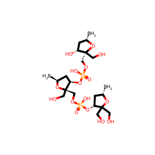 B[C@H]1C[C@@H](OP(=O)(O)OC[C@@]2(CO)O[C@@H](B)C[C@H]2OP(=O)(O)OC[C@@]2(CO)O[C@@H](B)C[C@H]2O)C(CO)(CO)O1